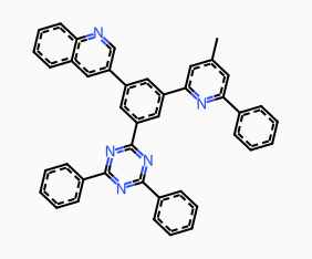 Cc1cc(-c2ccccc2)nc(-c2cc(-c3cnc4ccccc4c3)cc(-c3nc(-c4ccccc4)nc(-c4ccccc4)n3)c2)c1